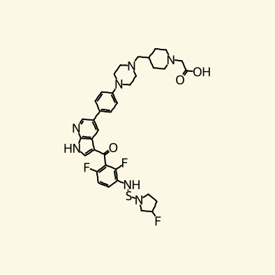 O=C(O)CN1CCC(CN2CCN(c3ccc(-c4cnc5[nH]cc(C(=O)c6c(F)ccc(NSN7CCC(F)C7)c6F)c5c4)cc3)CC2)CC1